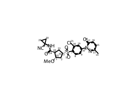 CO[C@H]1C[C@@H](S(=O)(=O)c2ccc(-n3nc(C)ccc3=O)cc2Cl)C[C@@H]1C(=O)NC1(C#N)CC1